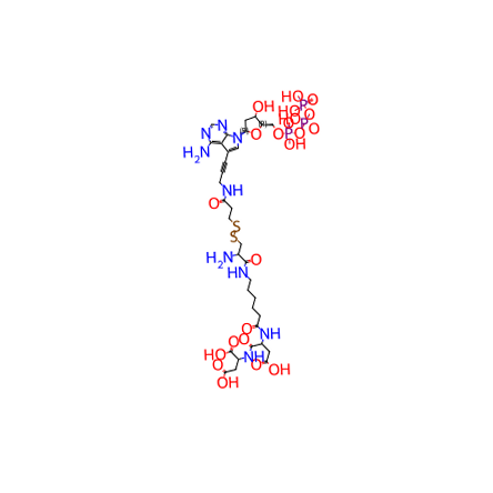 Nc1ncnc2c1c(C#CCNC(=O)CCSSCC(N)C(=O)NCCCCCC(=O)NC(CC(=O)O)C(=O)NC(CC(=O)O)C(=O)O)cn2[C@H]1CC(O)[C@@H](COP(=O)(O)OP(=O)(O)OP(=O)(O)O)O1